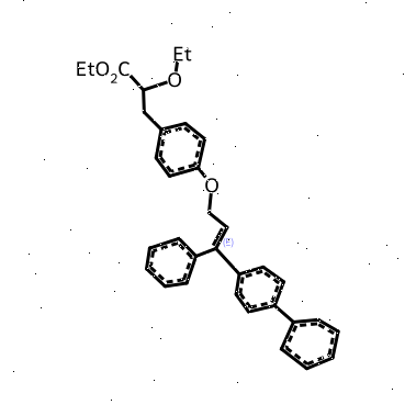 CCOC(=O)C(Cc1ccc(OC/C=C(\c2ccccc2)c2ccc(-c3ccccc3)cc2)cc1)OCC